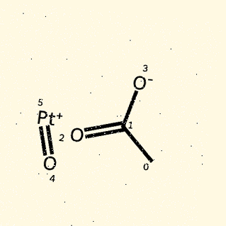 CC(=O)[O-].[O]=[Pt+]